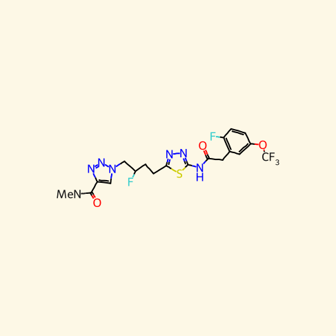 CNC(=O)c1cn(CC(F)CCc2nnc(NC(=O)Cc3cc(OC(F)(F)F)ccc3F)s2)nn1